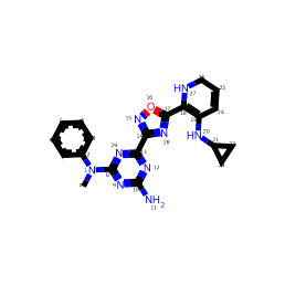 CN(c1ccccc1)c1nc(N)nc(-c2noc(C3=C(NC4CC4)C=CCN3)n2)n1